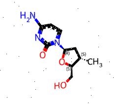 C[C@H]1C[C@H](n2ccc(N)nc2=O)O[C@@H]1CO